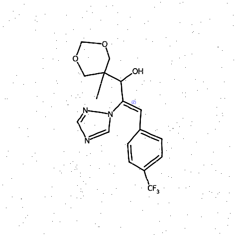 CC1(C(O)/C(=C/c2ccc(C(F)(F)F)cc2)n2cncn2)COCOC1